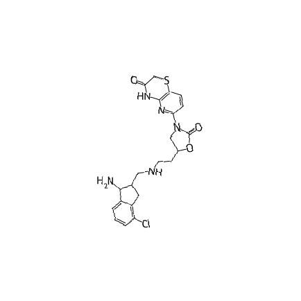 NC1c2cccc(Cl)c2CC1CNCCC1CN(c2ccc3c(n2)NC(=O)CS3)C(=O)O1